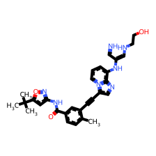 Cc1ccc(C(=O)Nc2cc(C(C)(C)C)on2)cc1C#Cc1cnc2c(N/C(C=N)=C/NCCO)cccn12